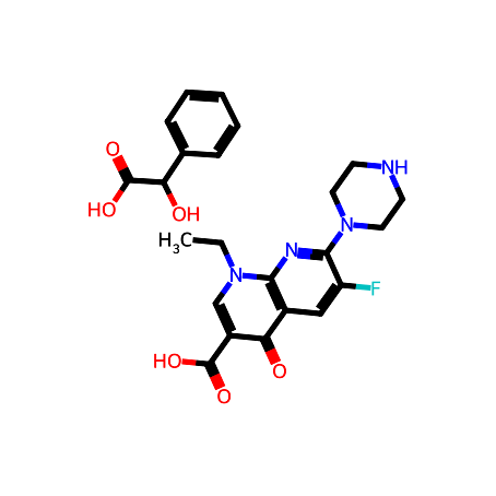 CCn1cc(C(=O)O)c(=O)c2cc(F)c(N3CCNCC3)nc21.O=C(O)C(O)c1ccccc1